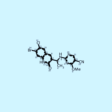 COc1nc(NC(C)c2cc3cc(Cl)c(Br)cc3[nH]c2=O)ncc1C#N